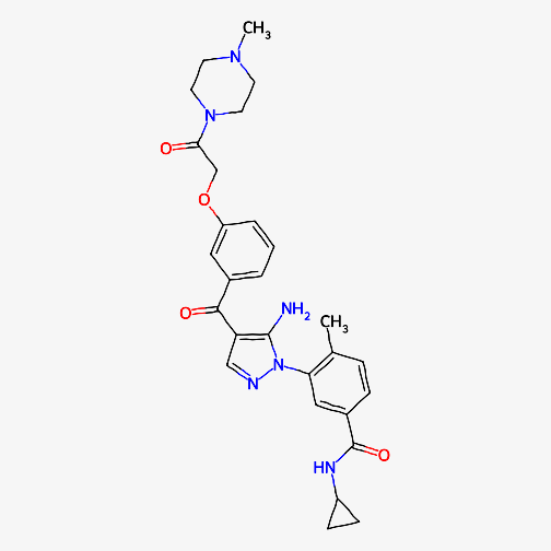 Cc1ccc(C(=O)NC2CC2)cc1-n1ncc(C(=O)c2cccc(OCC(=O)N3CCN(C)CC3)c2)c1N